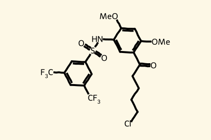 COc1cc(OC)c(C(=O)CCCCCl)cc1NS(=O)(=O)c1cc(C(F)(F)F)cc(C(F)(F)F)c1